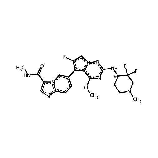 CNC(=O)c1cnc2ccc(-c3c(F)cn4nc(N[C@@H]5CCN(C)CC5(F)F)nc(OC)c34)cn12